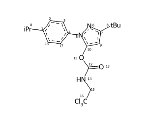 CC(C)c1ccc(-n2nc(C(C)(C)C)cc2OC(=O)NCC(Cl)(Cl)Cl)cc1